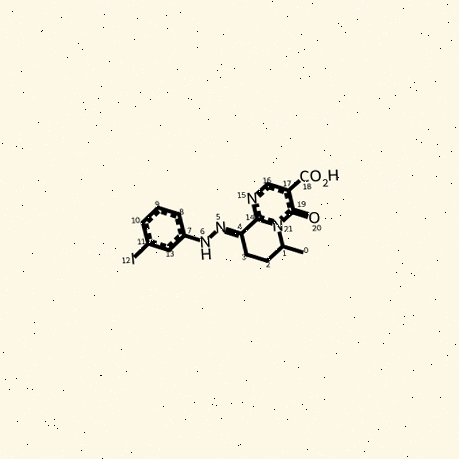 CC1CCC(=NNc2cccc(I)c2)c2ncc(C(=O)O)c(=O)n21